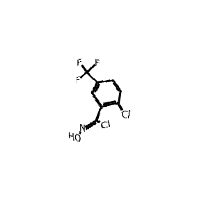 ON=C(Cl)c1cc(C(F)(F)F)ccc1Cl